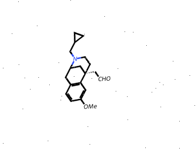 COc1ccc2c(c1)[C@]1(CC=O)CCN(CC3CC3)C(C2)C1